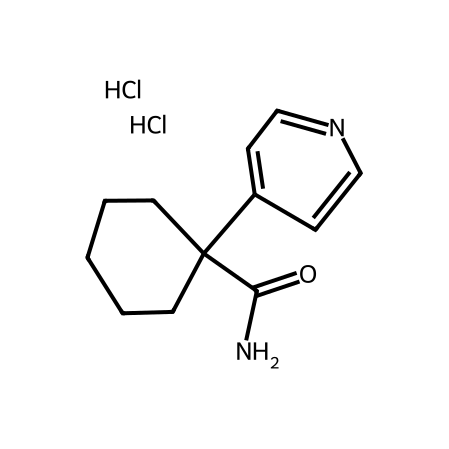 Cl.Cl.NC(=O)C1(c2ccncc2)CCCCC1